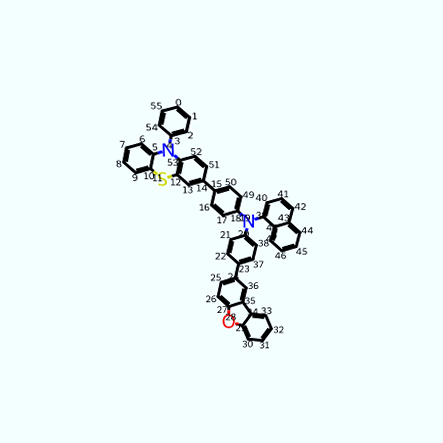 c1ccc(N2c3ccccc3Sc3cc(-c4ccc(N(c5ccc(-c6ccc7oc8ccccc8c7c6)cc5)c5cccc6ccccc56)cc4)ccc32)cc1